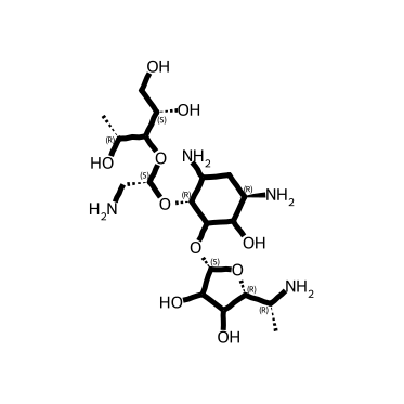 C[C@@H](O)C(O[C@@H](CN)O[C@@H]1C(N)C[C@@H](N)C(O)C1O[C@@H]1O[C@H]([C@@H](C)N)C(O)C1O)[C@@H](O)CO